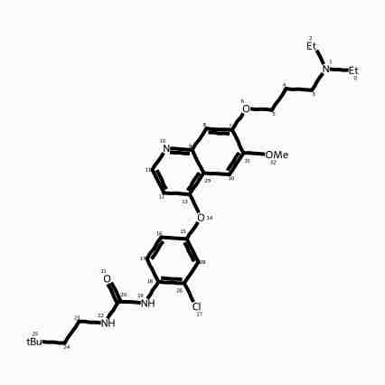 CCN(CC)CCCOc1cc2nccc(Oc3ccc(NC(=O)NCCC(C)(C)C)c(Cl)c3)c2cc1OC